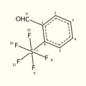 O=[C]c1ccccc1S(F)(F)(F)(F)F